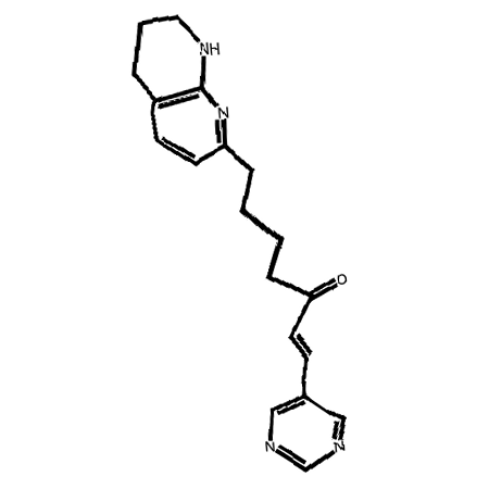 O=C(/C=C/c1cncnc1)CCCCc1ccc2c(n1)NCCC2